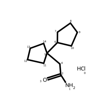 Cl.NC(=O)CC1(C2CCCC2)CCCC1